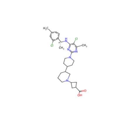 Cc1ccc([C@@H](C)Nc2nc(N3CCC(C4CCCN(C5CC(C(=O)O)C5)C4)CC3)nc(C)c2Cl)c(Cl)c1